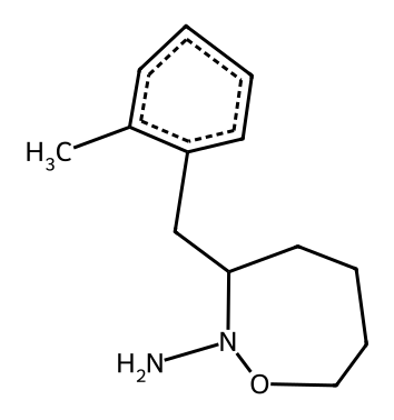 Cc1ccccc1CC1CCCCON1N